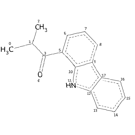 CC(C)C(=O)c1cccc2c1[nH]c1ccccc12